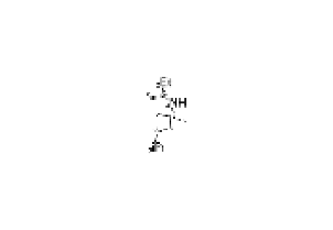 C=C(CC)NC(C)(C)CCC(C)C